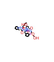 C=CCCC(=O)N[C@@H](Cc1ccccc1)C(=O)NC(Cc1cccc(I)c1)C(=O)N1C[C@H](O)C[C@H]1C(=O)NCCOCCO